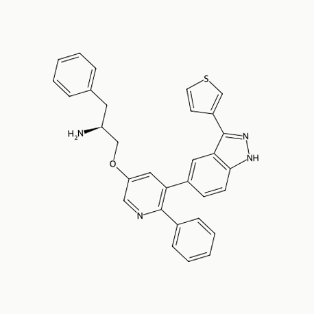 N[C@H](COc1cnc(-c2ccccc2)c(-c2ccc3[nH]nc(-c4ccsc4)c3c2)c1)Cc1ccccc1